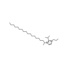 CCCCCCCCCCCCCCCCCC(C)[n+]1ccn(CCC)c1C(C)C